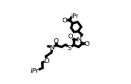 CC(C)CCOCCN(C)C(=O)CCSC1CC(=O)N(CC2CCC(C(=O)C(C)C)CC2)C1=O